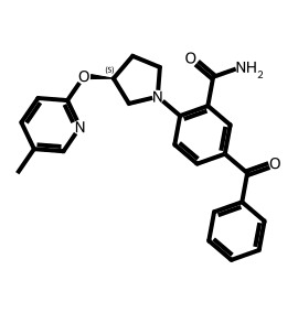 Cc1ccc(O[C@H]2CCN(c3ccc(C(=O)c4ccccc4)cc3C(N)=O)C2)nc1